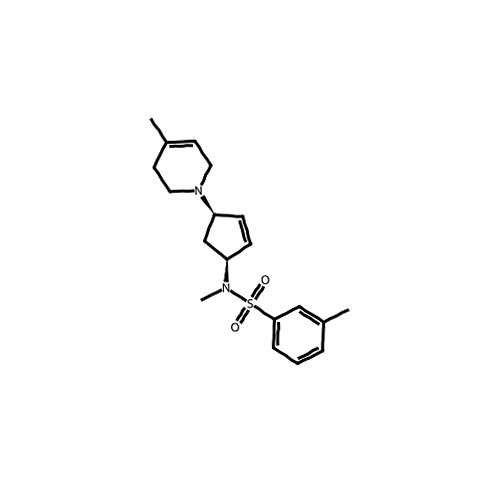 CC1=CCN([C@H]2C=C[C@@H](N(C)S(=O)(=O)c3cccc(C)c3)C2)CC1